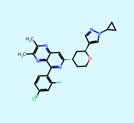 Cc1nc2cc([C@H]3CCO[C@H](c4cnn(C5CC5)c4)C3)nc(-c3ccc(Cl)cc3F)c2nc1C